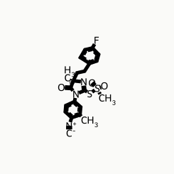 [C-]#[N+]c1ccc(N2C(=O)[C@@](C)(CCc3ccc(F)cc3)N=C2SS(C)(=O)=O)cc1C